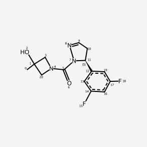 CC1(O)CN(C(=O)N2N=CC[C@H]2c2cc(F)cc(F)c2)C1